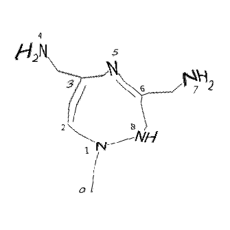 CN1C=C(N)N=C(N)N1